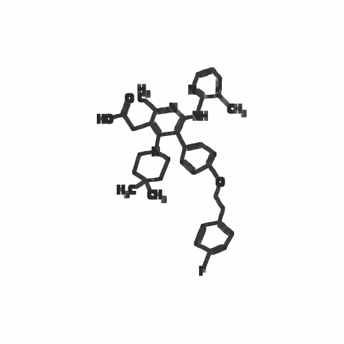 Cc1cccnc1Nc1nc(C)c(CC(=O)O)c(N2CCC(C)(C)CC2)c1-c1ccc(OCCc2ccc(F)cc2)cc1